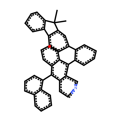 CC1(C)c2ccccc2-c2ccc(-c3ccccc3-c3c4ccccc4c(-c4cccc5ccccc45)c4ccncc34)cc21